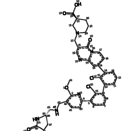 COc1nc(-c2cccc(-c3cccc(-c4ccn5c(=O)c(CN6CCC[C@H](C(=O)O)C6)cnc5c4)c3Cl)c2Cl)ccc1CNC[C@@H]1CCC(=O)N1